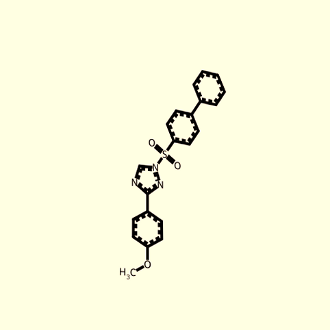 COc1ccc(-c2ncn(S(=O)(=O)c3ccc(-c4ccccc4)cc3)n2)cc1